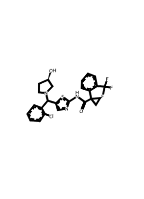 O=C(Nc1ncc(C(c2ccccc2Cl)N2CC[C@@H](O)C2)s1)C1(c2ccccc2C(F)(F)F)CC1